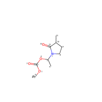 CC(C)OC(=O)OC(C)N1CCC(C)C1=O